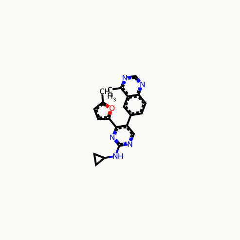 Cc1ccc(-c2nc(NC3CC3)ncc2-c2ccc3ncnc(C)c3c2)o1